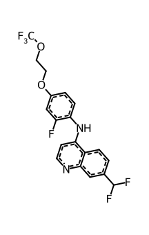 Fc1cc(OCCOC(F)(F)F)ccc1Nc1ccnc2cc(C(F)F)ccc12